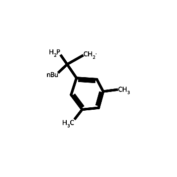 [CH2]C(P)(CCCC)c1cc(C)cc(C)c1